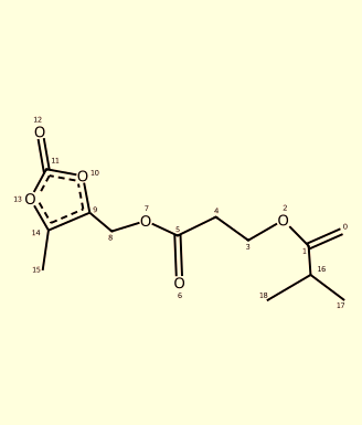 C=C(OCCC(=O)OCc1oc(=O)oc1C)C(C)C